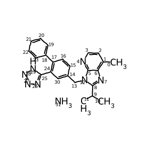 Cc1ccnc2c1nc(C(C)C)n2Cc1ccc(-c2ccccc2)c(-c2nnn[nH]2)c1.N